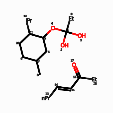 CCC(O)(O)OC1CC(C)CCC1C(C)C.CCCC=CC(=O)CC